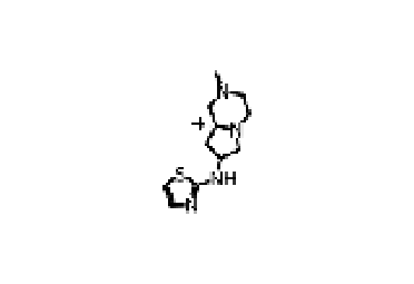 CN1CCN2C[C@@H](Nc3nccs3)C[C@H]2C1